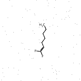 CCCC[CH]C=C(F)F